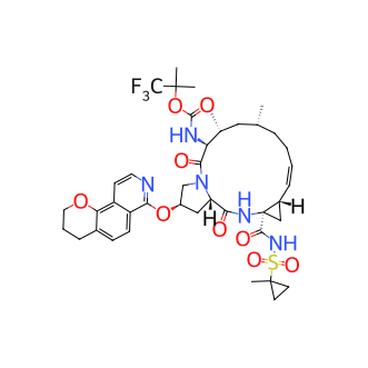 C[C@@H]1CC/C=C\[C@@H]2C[C@@]2(C(=O)NS(=O)(=O)C2(C)CC2)NC(=O)[C@@H]2C[C@@H](Oc3nccc4c5c(ccc34)CCCO5)CN2C(=O)[C@@H](NC(=O)OC(C)(C)C(F)(F)F)[C@H](C)C1